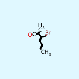 CC=CC=C(CBr)C(C)=C=O